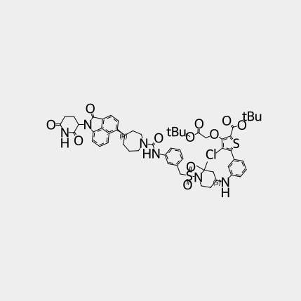 CC(C)(C)OC(=O)COc1c(C(=O)OC(C)(C)C)sc(-c2cccc(N[C@H]3CCN(S(=O)(=O)Cc4cccc(NC(=O)N5CCC[C@@H](c6ccc7c8c(cccc68)N(C6CCC(=O)NC6=O)C7=O)CC5)c4)C(C)(C)C3)c2)c1Cl